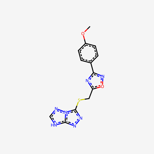 COc1ccc(-c2noc(CSc3nnc4[nH]cnn34)n2)cc1